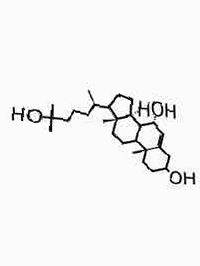 C[C@H](CCCC(C)(C)O)C1CC[C@H]2C3C(CC[C@]12C)C1(C)CCC(O)CC1=C[C@H]3O